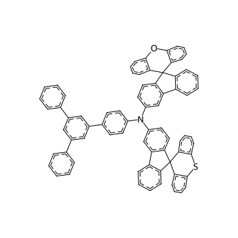 c1ccc(-c2cc(-c3ccccc3)cc(-c3ccc(N(c4ccc5c(c4)-c4ccccc4C54c5ccccc5Oc5ccccc54)c4ccc5c(c4)-c4ccccc4C54c5ccccc5Sc5ccccc54)cc3)c2)cc1